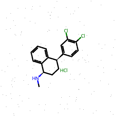 CN[C@@H]1CC[C@H](c2ccc(Cl)c(Cl)c2)c2ccccc21.Cl